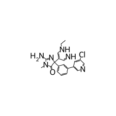 CCN/C=C(\C=N)C1(c2cccc(-c3cncc(Cl)c3)c2)N=C(N)N(C)C1=O